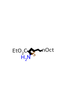 CCCCCCCCCCc1cc(C(=O)OCC)c(N)s1